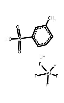 Cc1cccc(S(=O)(=O)O)c1.F[As](F)(F)(F)F.[LiH]